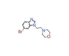 Brc1ccc2ncn(CCN3CCOCC3)c2c1